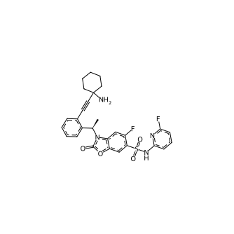 C[C@H](c1ccccc1C#CC1(N)CCCCC1)n1c(=O)oc2cc(S(=O)(=O)Nc3cccc(F)n3)c(F)cc21